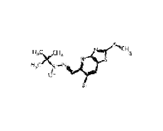 CSc1nc2nc(C=N[S@@+]([O-])C(C)(C)C)c(Br)cc2s1